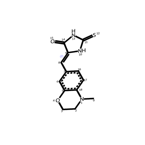 CN1CCOc2cc(/C=C3\NC(=S)NC3=O)ccc21